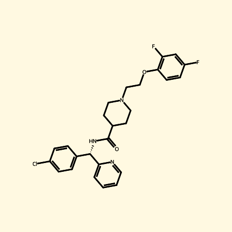 O=C(N[C@@H](c1ccc(Cl)cc1)c1ccccn1)C1CCN(CCOc2ccc(F)cc2F)CC1